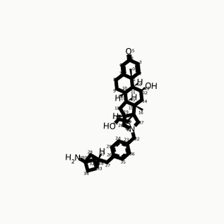 C[C@]12C=CC(=O)C=C1CC[C@@H]1[C@@H]2[C@@H](O)C[C@@]2(C)[C@H]1C[C@H]1CN(Cc3ccc(C[C@H]4CC5(N)CC4C5)cc3)C[C@]12C(=O)CO